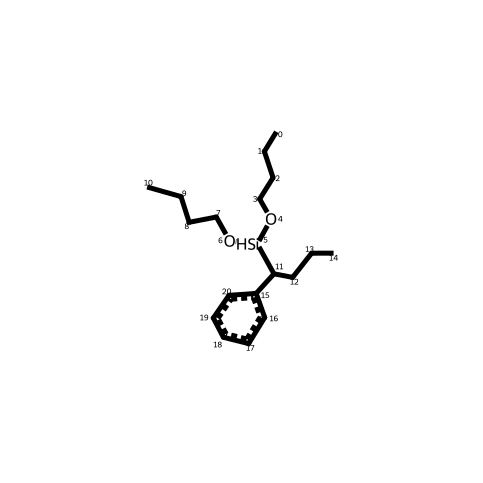 CCCCO[SiH](OCCCC)C(CCC)c1ccccc1